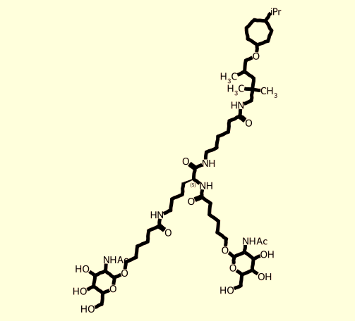 CC(=O)NC1C(OCCCCCC(=O)NCCCC[C@H](NC(=O)CCCCCOC2OC(CO)C(O)C(O)C2NC(C)=O)C(=O)NCCCCCC(=O)NCC(C)(C)CC(C)COC2CCCC(C(C)C)CC2)OC(CO)C(O)C1O